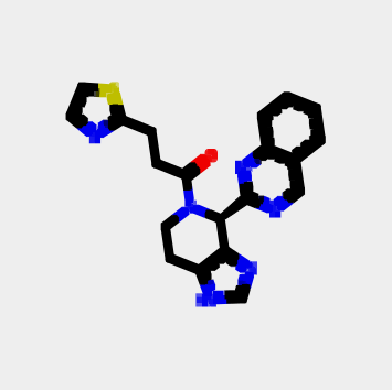 O=C(CCc1nccs1)N1CCc2[nH]cnc2[C@@H]1c1ncc2ccccc2n1